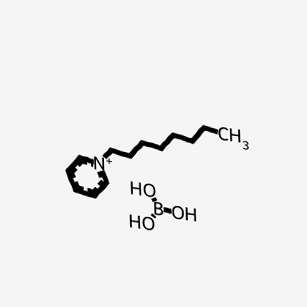 CCCCCCCC[n+]1ccccc1.OB(O)O